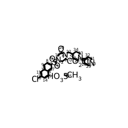 CCOC(=O)C1CN(S(=O)(=O)c2ccc3cc(Cl)ccc3c2)CC(=O)N1CC1CCN(c2ccncc2)CC1.CS(=O)(=O)O